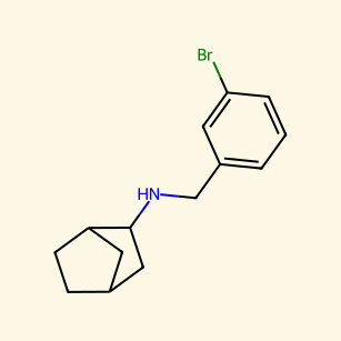 Brc1cccc(CNC2CC3CCC2C3)c1